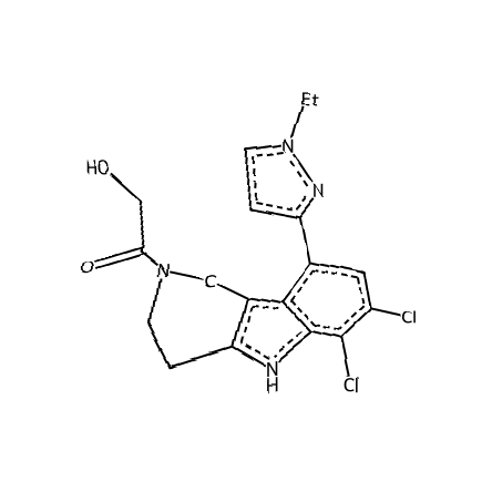 CCn1ccc(-c2cc(Cl)c(Cl)c3[nH]c4c(c23)CN(C(=O)CO)CC4)n1